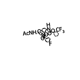 CC(=O)NC[C@H]1CN(S(=O)(=O)c2ccc(F)cc2)c2cc(NC(=O)O[C@H]3CCCC[C@H]3C(F)(F)F)ccc2O1